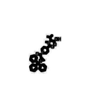 CC(C)C(C(=O)O)N(C)C(=O)C1CCN(C(=O)C2C[N@]2C(c2ccccc2)(c2ccccc2)c2ccccc2)CC1